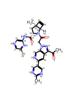 CC(=O)c1nn(CC(=O)N2[C@H](C(=O)Nc3cncc(Br)n3)C[C@@]3(C)C#C[C@@H]23)c2cnc(-c3cnc(C)nc3)cc12